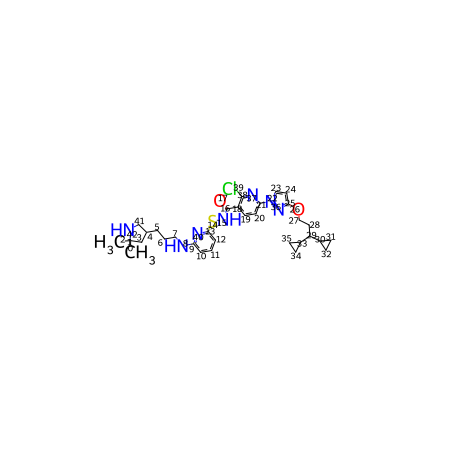 CC1(C)CC(CCCNc2cccc(SNC(=O)c3ccc(-n4ccc(OCCC(C5CC5)C5CC5)n4)nc3Cl)n2)CN1